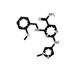 COc1ccccc1CNc1nc(Nc2cnn(C)c2)ncc1C(N)=O